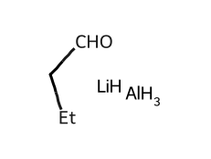 CCCC=O.[AlH3].[LiH]